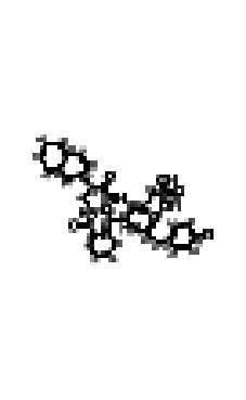 NC(=O)C(CNC(=O)C1CCCCN1C(=O)C(CSCP(=O)(O)O)NC(=O)Cc1ccc(Cl)cc1)c1ccc2ccccc2c1